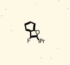 CC(C)c1oc2ccccc2c1F